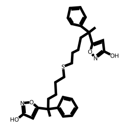 CC(CCCCSCCCCC(C)(c1ccccc1)c1cc(O)no1)(c1ccccc1)c1cc(O)no1